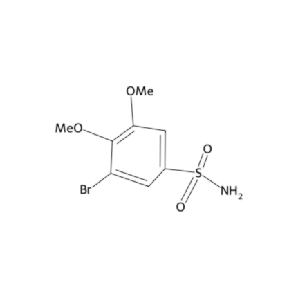 COc1cc(S(N)(=O)=O)cc(Br)c1OC